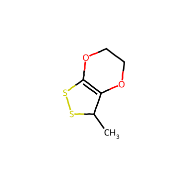 CC1SSC2=C1OCCO2